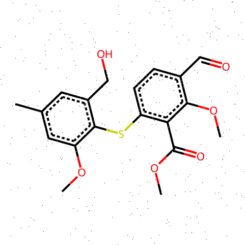 COC(=O)c1c(Sc2c(CO)cc(C)cc2OC)ccc(C=O)c1OC